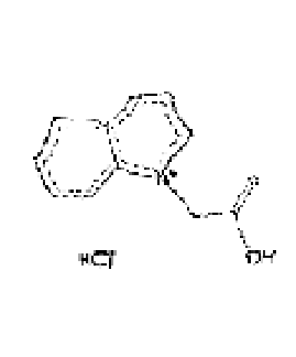 Cl.O=C(O)C[n+]1cccc2ccccc21